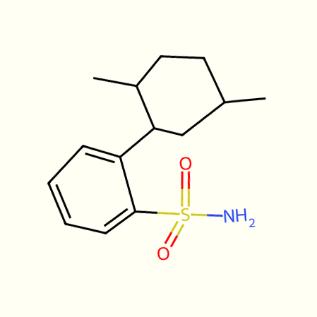 CC1CCC(C)C(c2ccccc2S(N)(=O)=O)C1